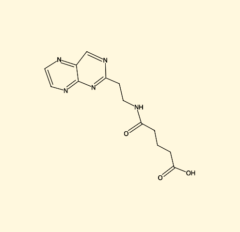 O=C(O)CCCC(=O)NCCc1ncc2nccnc2n1